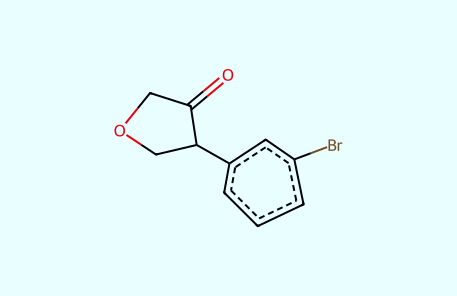 O=C1COCC1c1cccc(Br)c1